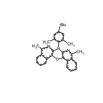 Cc1cc(C(C)(C)C)cc(C)c1N1c2nc(C)c3ccccc3c2Oc2c1nc(C)c1ccccc21